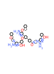 COC1(Cc2ccccc2)CCN(c2cc(-c3cc(Oc4cc(-c5ccc(C(=O)N6CCN(c7cc(-c8ccccc8O)nnc7N)CC6)cc5)ccc4-c4cc(OC5CCc6ccccc65)c(N)nn4)ccc3O)nnc2N)C1